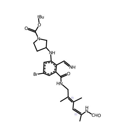 C/C(=C/C(C)=C(\C)CNC(=O)c1cc(Br)cc(NC2CCN(C(=O)OC(C)(C)C)C2)c1C=N)NC=O